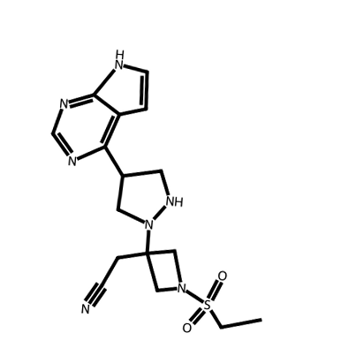 CCS(=O)(=O)N1CC(CC#N)(N2CC(c3ncnc4[nH]ccc34)CN2)C1